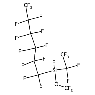 FC(F)(F)O[Si](F)(C(F)(F)C(F)(F)F)C(F)(F)C(F)(F)C(F)(F)C(F)(F)C(F)(F)C(F)(F)F